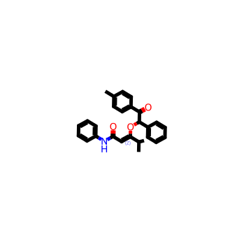 Cc1ccc(C(=O)C(O/C(=C\C(=O)Nc2ccccc2)C(C)C)c2ccccc2)cc1